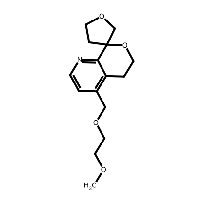 COCCOCc1ccnc2c1CCOC21CCOC1